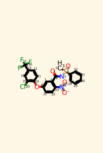 CS(=O)(=NC(=O)c1cc(Oc2ccc(C(F)(F)F)cc2Cl)ccc1[N+](=O)[O-])c1ccccc1